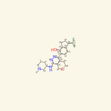 CN1CCC[C@@H](Nc2nnc(-c3ccc4c(c3O)CCC4=C(F)F)c3c2COCC3)C1